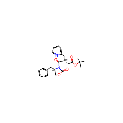 CC(C)(C)OC(=O)C[C@@H](Cc1ccccn1)C(=O)N1C(=O)OC[C@H]1Cc1ccccc1